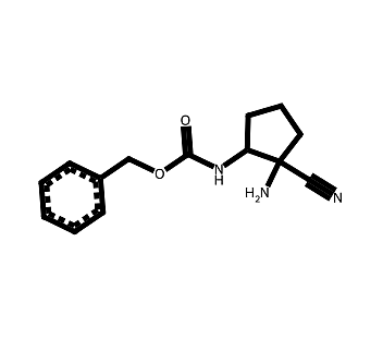 N#CC1(N)CCCC1NC(=O)OCc1ccccc1